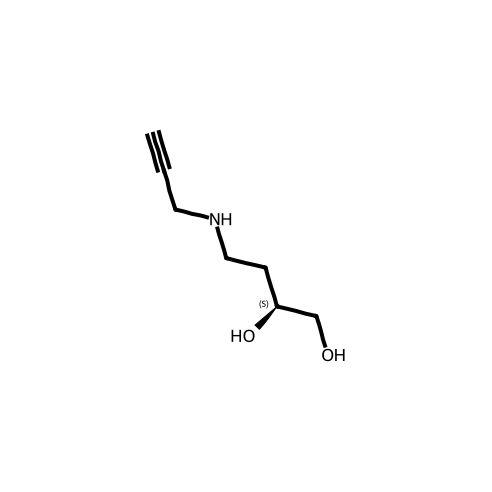 C#CCNCC[C@H](O)CO